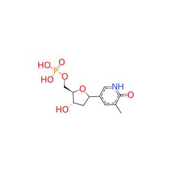 Cc1cc(C2C[C@H](O)[C@@H](COP(=O)(O)O)O2)c[nH]c1=O